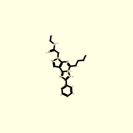 CCCCc1nc2c(cnn2CC(=O)OCC)c2nc(-c3ccccc3)nn12